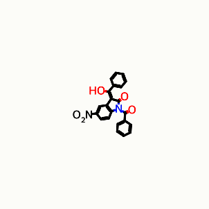 O=C1/C(=C(/O)c2ccccc2)c2cc([N+](=O)[O-])ccc2N1C(=O)c1ccccc1